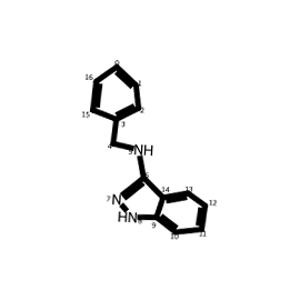 c1ccc(CNc2n[nH]c3ccccc23)cc1